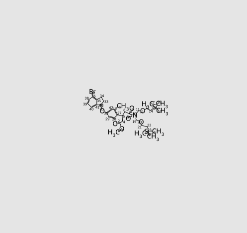 COC(=O)CC(CS(=O)(=O)N(COCC[Si](C)(C)C)COCC[Si](C)(C)C)c1ccc(O[C@@H]2CCc3c(Br)cccc32)cc1C